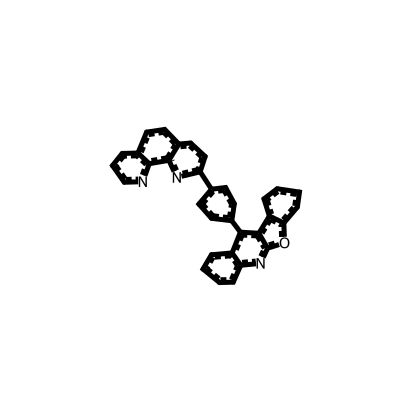 c1cnc2c(c1)ccc1ccc(-c3ccc(-c4c5ccccc5nc5oc6ccccc6c45)cc3)nc12